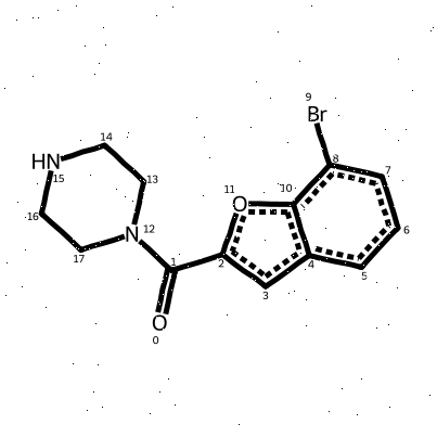 O=C(c1cc2cccc(Br)c2o1)N1CCNCC1